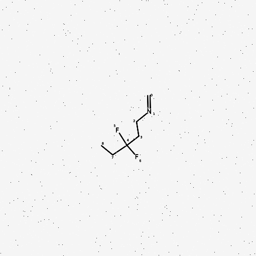 C=NCCC(F)(F)CC